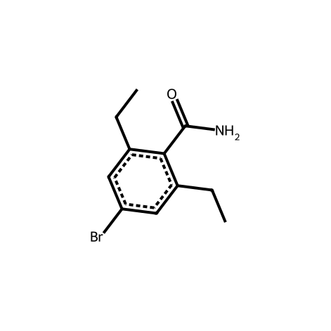 CCc1cc(Br)cc(CC)c1C(N)=O